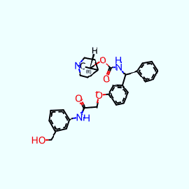 O=C(COc1cccc(C(NC(=O)O[C@H]2CN3CCC2CC3)c2ccccc2)c1)Nc1cccc(CO)c1